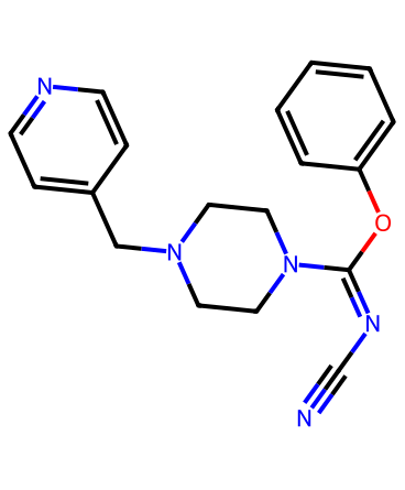 N#C/N=C(/Oc1ccccc1)N1CCN(Cc2ccncc2)CC1